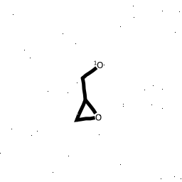 [1O]CC1CO1